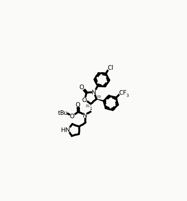 CC(C)(C)OC(=O)N(CC1CCNC1)C[C@@H]1OC(=O)N(c2ccc(Cl)cc2)[C@H]1c1cccc(C(F)(F)F)c1